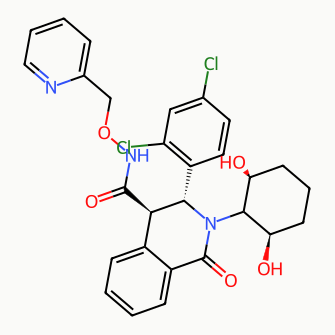 O=C(NOCc1ccccn1)[C@@H]1c2ccccc2C(=O)N(C2[C@H](O)CCC[C@@H]2O)[C@H]1c1ccc(Cl)cc1Cl